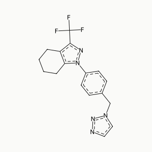 FC(F)(F)c1nn(-c2ccc(Cn3ccnn3)cc2)c2c1CCCC2